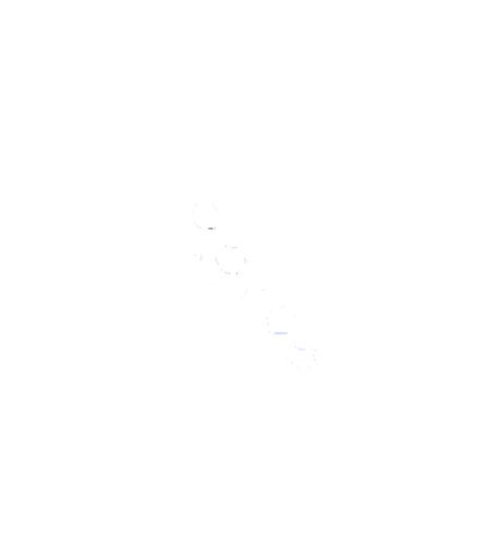 CC(N)c1cc(F)ccc1-c1cc(Cl)c(C(=O)Nc2cnc(-n3nccn3)c(Cl)c2)cc1F